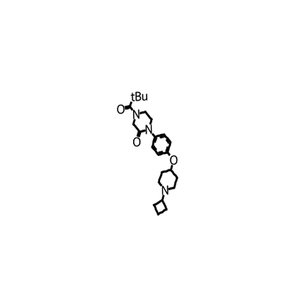 CC(C)(C)C(=O)N1CCN(c2ccc(OC3CCN(C4CCC4)CC3)cc2)C(=O)C1